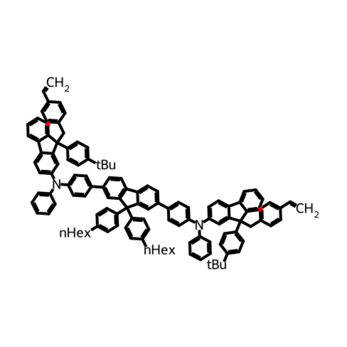 C=Cc1ccc(CC2(c3ccc(C(C)(C)C)cc3)c3ccccc3-c3ccc(N(c4ccccc4)c4ccc(-c5ccc6c(c5)C(c5ccc(CCCCCC)cc5)(c5ccc(CCCCCC)cc5)c5cc(-c7ccc(N(c8ccccc8)c8ccc9c(c8)C(Cc8ccc(C=C)cc8)(c8ccc(C(C)(C)C)cc8)c8ccccc8-9)cc7)ccc5-6)cc4)cc32)cc1